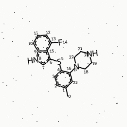 Cc1ccc(Sc2c[nH]c3cccc(F)c23)c(N2CCNCC2)c1